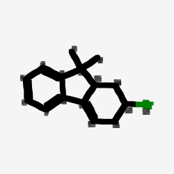 CC1(C)c2ccccc2C2=CCC(Br)CC21